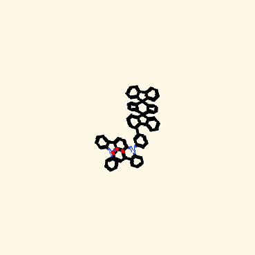 c1ccc(-c2ccccc2N(c2cccc(-c3cccc4c3-c3ccccc3C43c4ccccc4C4(c5ccccc5-c5ccccc54)c4ccccc43)c2)c2ccc3c4ccccc4n(-c4ccccc4)c3c2)cc1